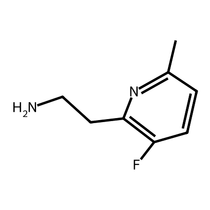 Cc1ccc(F)c(CCN)n1